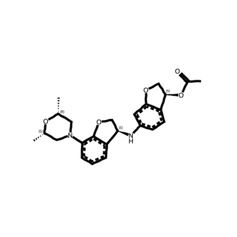 CC(=O)O[C@@H]1COc2cc(N[C@@H]3COc4c3cccc4N3C[C@@H](C)O[C@@H](C)C3)ccc21